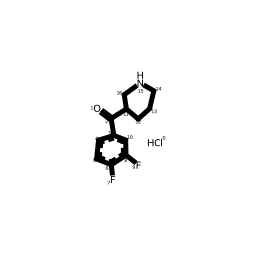 Cl.O=C(c1ccc(F)c(F)c1)C1CCCNC1